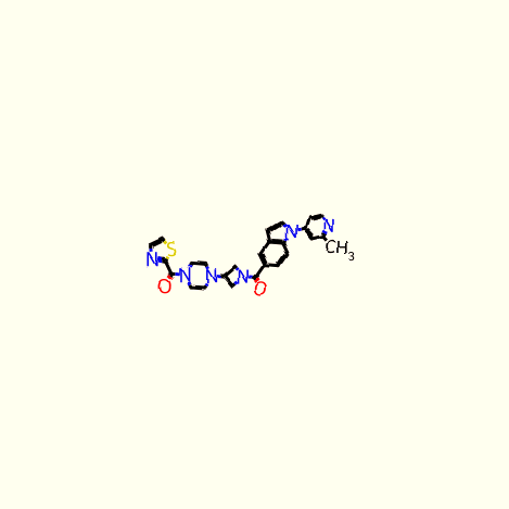 Cc1cc(-n2ccc3cc(C(=O)N4CC(N5CCN(C(=O)c6nccs6)CC5)C4)ccc32)ccn1